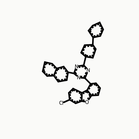 Clc1ccc2c(c1)oc1cccc(-c3nc(-c4ccc(-c5ccccc5)cc4)nc(-c4ccc5ccccc5c4)n3)c12